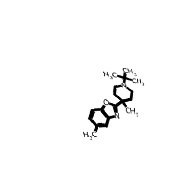 Cc1ccc2oc(C3(C)CCN(C(C)(C)C)CC3)nc2c1